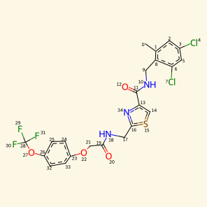 Cc1cc(Cl)cc(Cl)c1CNC(=O)c1csc(CNC(=O)COc2ccc(OC(F)(F)F)cc2)n1